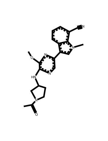 COc1nc(-c2cn(C)c3c(C#N)cccc23)cnc1NC1CCN(C(C)=O)C1